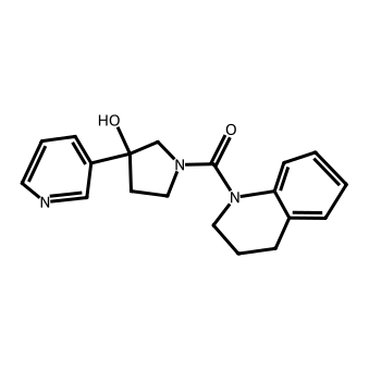 O=C(N1CCC(O)(c2cccnc2)C1)N1CCCc2ccccc21